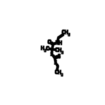 CCCNC(=O)C(C)(C)SC(=S)SCC